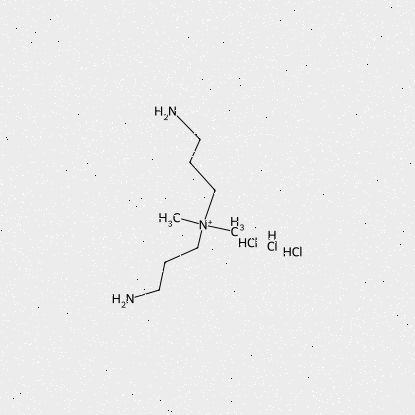 C[N+](C)(CCCN)CCCN.Cl.Cl.Cl